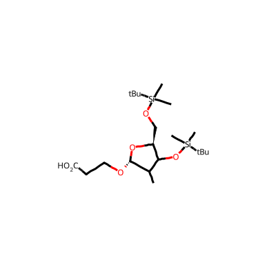 CC1C(O[Si](C)(C)C(C)(C)C)[C@H](CO[Si](C)(C)C(C)(C)C)O[C@H]1OCCC(=O)O